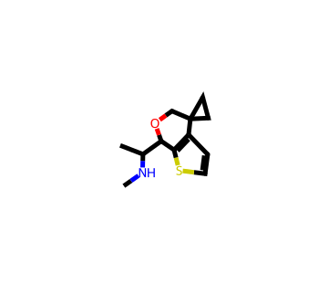 CNC(C)C1OCC2(CC2)c2ccsc21